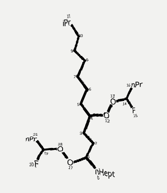 CCCCCCCC(CCC(CCCCCCC(C)C)OOC(F)CCC)OOC(F)CCC